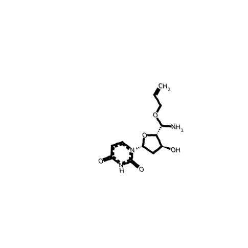 C=CCOC(N)[C@H]1O[C@@H](n2ccc(=O)[nH]c2=O)C[C@@H]1O